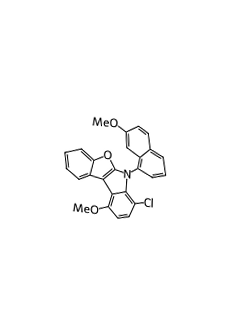 COc1ccc2cccc(-n3c4oc5ccccc5c4c4c(OC)ccc(Cl)c43)c2c1